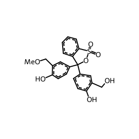 COCc1cc(C2(c3ccc(O)c(CO)c3)OS(=O)(=O)c3ccccc32)ccc1O